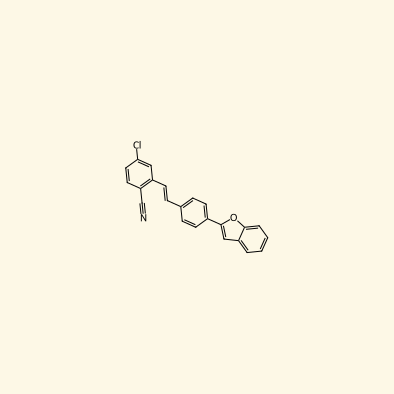 N#Cc1ccc(Cl)cc1C=Cc1ccc(-c2cc3ccccc3o2)cc1